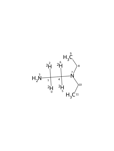 [2H]C([2H])(N)C([2H])([2H])N(CC)CC